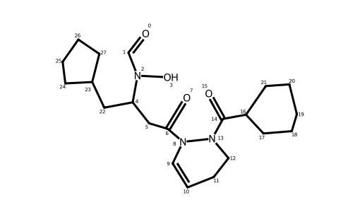 O=CN(O)C(CC(=O)N1C=CCCN1C(=O)C1CCCCC1)CC1CCCC1